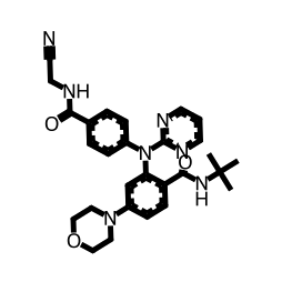 CC(C)(C)NC(=O)c1ccc(N2CCOCC2)cc1N(c1ccc(C(=O)NCC#N)cc1)c1ncccn1